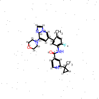 Cc1cc(F)c(NC(=O)c2ccnc(C3(C(F)(F)F)CC3)c2)cc1-c1cc(N2CCOCC2)c2nccn2c1